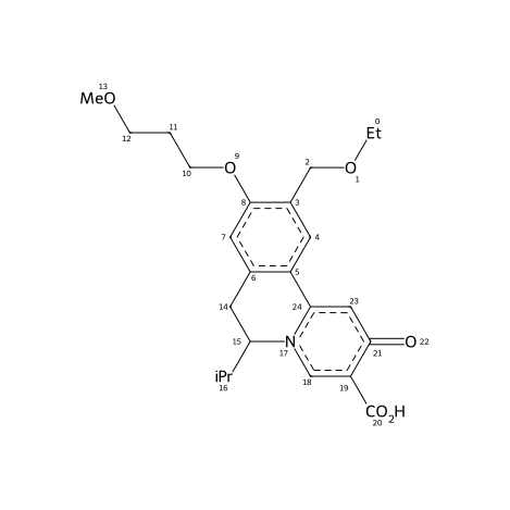 CCOCc1cc2c(cc1OCCCOC)CC(C(C)C)n1cc(C(=O)O)c(=O)cc1-2